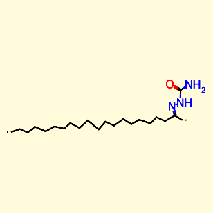 [CH2]CCCCCCCCCCCCCCCCCCC([CH2])=NNC(N)=O